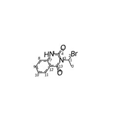 CC(Br)n1c(=O)[nH]c2ccccc2c1=O